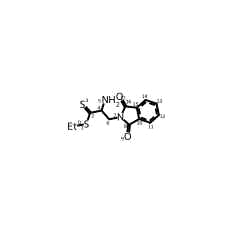 CCSC(=S)C(N)CN1C(=O)c2ccccc2C1=O